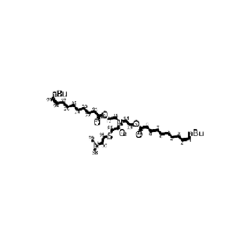 CCCC/C=C\CCCCCCCC(=O)OCCN(CCOC(=O)CCCCCCC/C=C\CCCC)C(=O)CSCCN(C)C